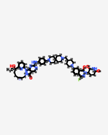 C[C@@]1(O)CC/C=C\Cn2c(=O)c3cnc(Nc4ccc(N5CCC6(CCN(CC7CCN(c8ccc9c(F)nn(C%10CCC(=O)NC%10=O)c(=O)c9c8)CC7)CC6)CC5)cc4)nc3n2-c2cccc1n2